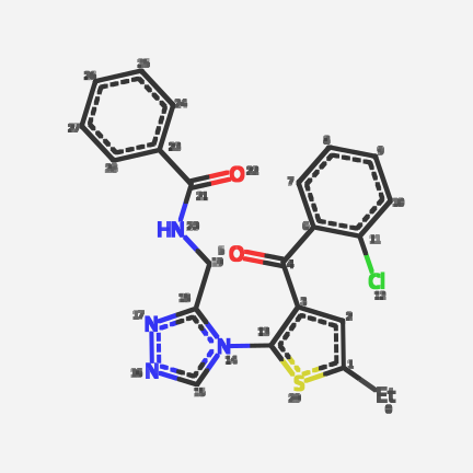 CCc1cc(C(=O)c2ccccc2Cl)c(-n2cnnc2CNC(=O)c2ccccc2)s1